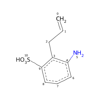 C=CCc1c(N)cccc1S(=O)(=O)O